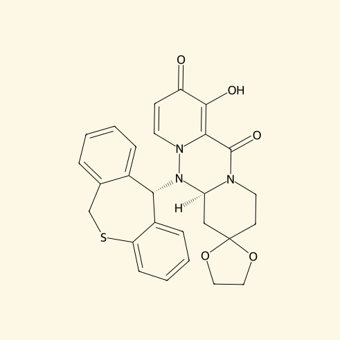 O=C1c2c(O)c(=O)ccn2N([C@H]2c3ccccc3CSc3ccccc32)[C@@H]2CC3(CCN12)OCCO3